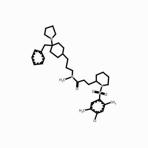 Cc1cc(S(=O)(=O)N2CCCCC2CCC(=O)N(C)CCCC2CCC(Cc3ccccc3)(N3CCCC3)CC2)c(C)cc1Cl